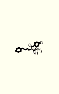 N=C(N)N(CCCCc1ccccc1)C(=O)c1ccc(Cl)cc1